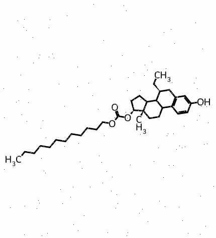 CCCCCCCCCCCCOC(=O)O[C@H]1CCC2C3C(CC[C@@]21C)c1ccc(O)cc1C[C@@H]3CC